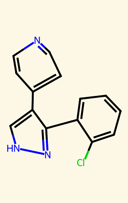 Clc1ccccc1-c1n[nH]cc1-c1ccncc1